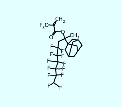 C=C(C(=O)OC(C)(CC(F)(F)C(F)(F)C(F)(F)C(F)(F)C(F)(F)C(F)F)C12CC3CC(CC(C3)C1)C2)C(F)(F)F